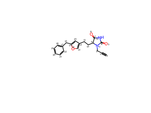 C#CCN1C(=O)NC(=O)C1[CH]Cc1coc(Cc2ccccc2)c1